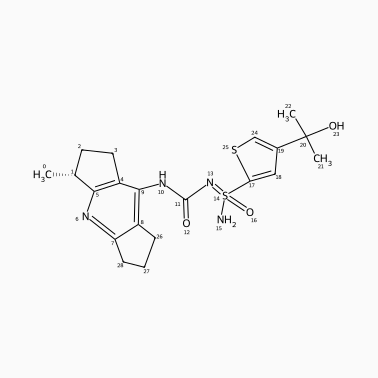 C[C@@H]1CCc2c1nc1c(c2NC(=O)N=S(N)(=O)c2cc(C(C)(C)O)cs2)CCC1